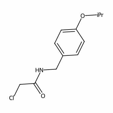 CC(C)Oc1ccc(CNC(=O)CCl)cc1